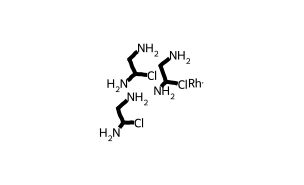 NCC(N)Cl.NCC(N)Cl.NCC(N)Cl.[Rh]